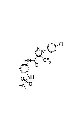 CN(C)S(=O)(=O)Nc1cccc(NC(=O)c2cnn(-c3ccc(Cl)cc3)c2C(F)(F)F)c1